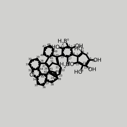 Bc1c(O)c(C2=C(O)CC(O)=C(O)C(O)=C2O)c(B)c(C2=C3C=CC=CC(=C(c4cccc5oc6ccc7ccccc7c6c45)c4ccccc42)C3)c1O